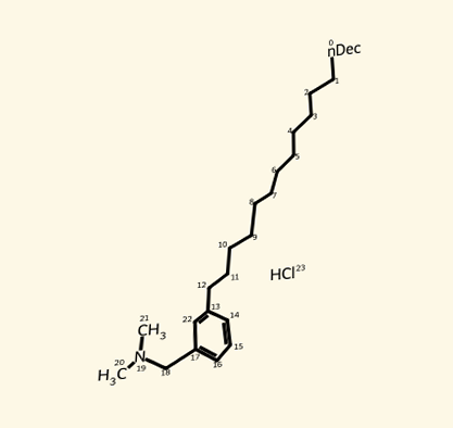 CCCCCCCCCCCCCCCCCCCCCCc1cccc(CN(C)C)c1.Cl